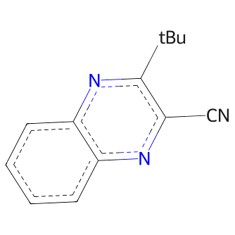 CC(C)(C)c1nc2ccccc2nc1C#N